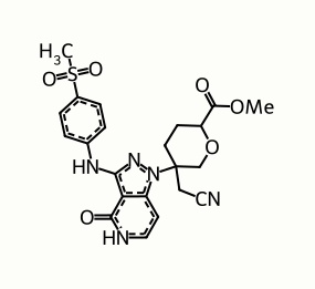 COC(=O)C1CCC(CC#N)(n2nc(Nc3ccc(S(C)(=O)=O)cc3)c3c(=O)[nH]ccc32)CO1